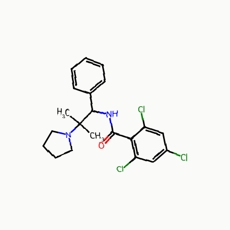 CC(C)(C(NC(=O)c1c(Cl)cc(Cl)cc1Cl)c1ccccc1)N1CCCC1